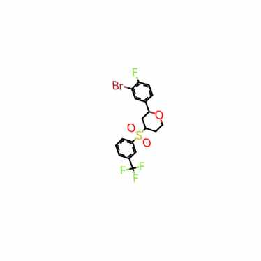 O=S(=O)(c1cccc(C(F)(F)F)c1)C1CCOC(c2ccc(F)c(Br)c2)C1